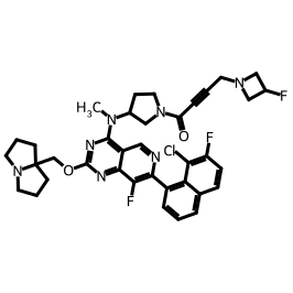 CN(c1nc(OCC23CCCN2CCC3)nc2c(F)c(-c3cccc4ccc(F)c(Cl)c34)ncc12)C1CCN(C(=O)C#CCN2CC(F)C2)C1